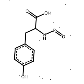 O=PNC(Cc1ccc(O)cc1)C(=O)O